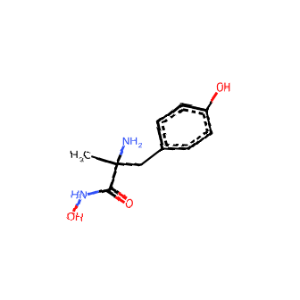 CC(N)(Cc1ccc(O)cc1)C(=O)NO